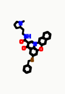 CN1CCCC1CCNC(=O)c1cn2c3c(cc(SCc4ccccc4)cc3c1=O)Oc1cc3ccccc3cc1-2